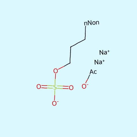 CC(=O)[O-].CCCCCCCCCCCCOS(=O)(=O)[O-].[Na+].[Na+]